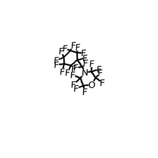 FC1(F)OC(F)(F)C(F)(F)N(C(F)(F)C2(F)C(F)(F)C(F)(F)C(F)(F)C(F)(F)C2(F)F)C1(F)F